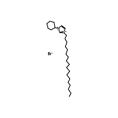 CCCCCCCCCCCCCCCCCC[n+]1ccn(C2CCCCC2)c1.[Br-]